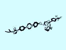 CCC(C)n1ncn(-c2ccc(N3CCN(c4ccc(OC[C@@H]5CO[C@@](Cn6nccn6)(c6ccc(C(F)(F)F)cc6)O5)cc4)CC3)cc2)c1=O